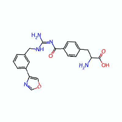 NC(=NC(=O)c1ccc(CC(N)C(=O)O)cc1)NCc1cccc(-c2cocn2)c1